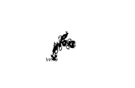 O=C(O)C1CCN(c2cnc(NC(=O)C(Oc3ccc(F)cc3F)c3ccc(S(=O)(=O)N4CCOCC4)cc3)s2)CC1